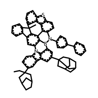 CCC1(c2ccc3c(c2)c2cc(C45CC6CC(CC(C6)C4)C5)cc4c2n3-c2cc3c(c5c2B4N(c2ccc(-c4ccccc4)cc2)c2ccc4sc6ccccc6c4c2-5)C(C)(C)c2ccccc2-3)CC2CCC(C2)C1